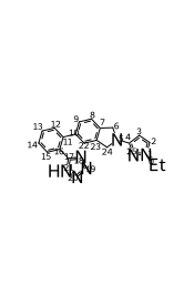 CCn1ccc(N2Cc3ccc(-c4ccccc4-c4nnn[nH]4)cc3C2)n1